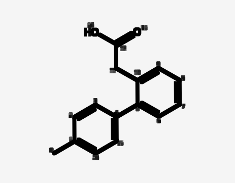 Cc1ccc(-c2ccccc2CC(=O)O)cc1